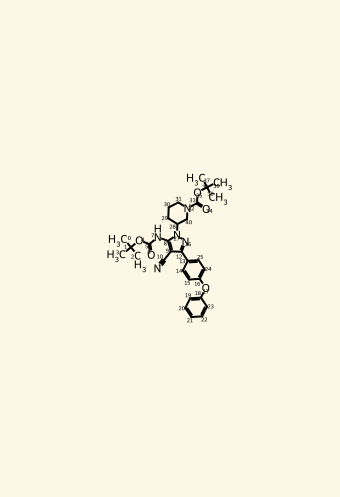 CC(C)(C)OC(=O)Nc1c(C#N)c(-c2ccc(Oc3ccccc3)cc2)nn1C1CCCN(C(=O)OC(C)(C)C)C1